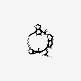 Cc1c2ccc3c1nnn3CCCCCc1ccc(c3c1OCC3)C(=O)N1CCc3ccc(cc3C1)C2CC(=O)O